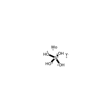 O[Si](O)(O)O.[Mo].[Y]